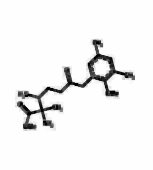 COC(=O)C(C)(N)C(C)CCC(=O)Cc1cc(C)cc(C)c1OC